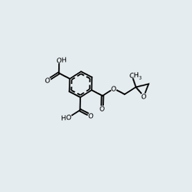 CC1(COC(=O)c2ccc(C(=O)O)cc2C(=O)O)CO1